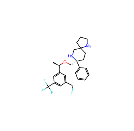 C[C@@H](OC[C@@]1(c2ccccc2)CCC2(CCCN2)CN1)c1cc(CF)cc(C(F)(F)F)c1